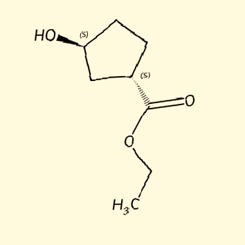 CCOC(=O)[C@H]1CC[C@H](O)C1